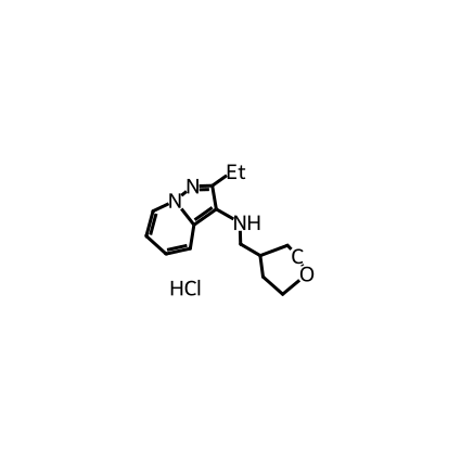 CCc1nn2ccccc2c1NCC1CCOCC1.Cl